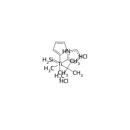 C[C](C)(C)[Ti]([CH3])([CH3])(=[SiH2])([C]1=CC=CC1)[c]1ccc[nH]1.Cl.Cl